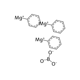 [Mg+][c]1ccccc1.[Mg+][c]1ccccc1.[Mg+][c]1ccccc1.[O-]B([O-])[O-]